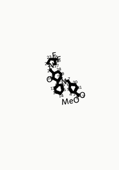 COC(=O)c1ccc(Cn2c3c(c4ccccc42)C(=O)C(CN2CCC(F)(F)C2)CC3)cc1